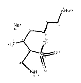 CCCCCCCCCCCCCC(C)C(CN)S(=O)(=O)[O-].[Na+]